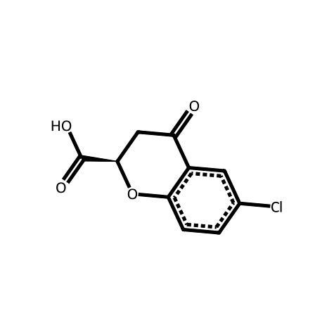 O=C1C[C@H](C(=O)O)Oc2ccc(Cl)cc21